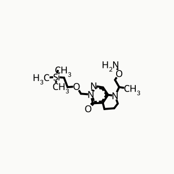 CC(CON)N1CCCc2c1cnn(COCC[Si](C)(C)C)c2=O